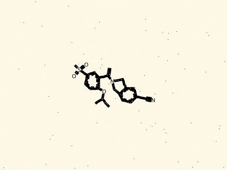 C=C(c1cc(S(C)(=O)=O)ccc1OC(C)C)N1Cc2ccc(C#N)cc2C1